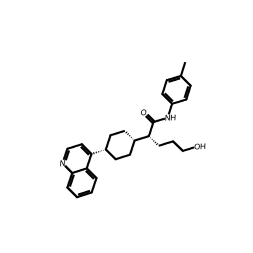 Cc1ccc(NC(=O)[C@H](CCCO)[C@H]2CC[C@@H](c3ccnc4ccccc43)CC2)cc1